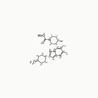 COC(=O)N1CC[C@@H](C)[C@H](c2c(C)c(C)nc3cc([C@H]4CC[C@H](C(F)(F)F)CC4)nn23)C1